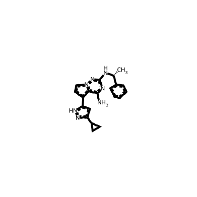 C[C@@H](Nc1nc(N)c2c(-c3cc(C4CC4)n[nH]3)ccn2n1)c1ccccc1